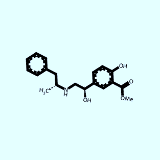 COC(=O)c1cc([C@@H](O)CN[C@H](C)Cc2ccccc2)ccc1O